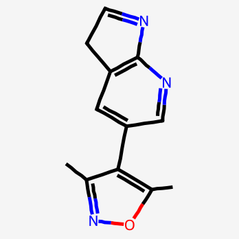 Cc1noc(C)c1-c1cnc2c(c1)CC=N2